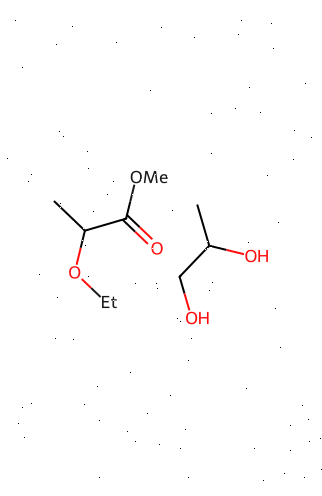 CC(O)CO.CCOC(C)C(=O)OC